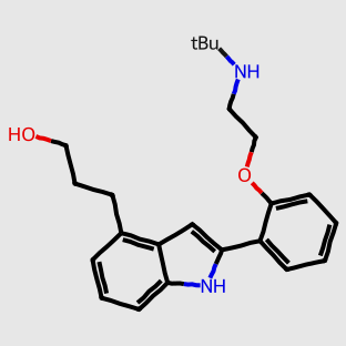 CC(C)(C)NCCOc1ccccc1-c1cc2c(CCCO)cccc2[nH]1